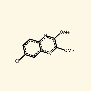 COc1nc2ccc(Cl)cc2nc1OC